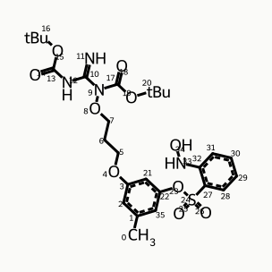 Cc1cc(OCCCON(C(=N)NC(=O)OC(C)(C)C)C(=O)OC(C)(C)C)cc(OS(=O)(=O)c2ccccc2NO)c1